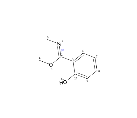 C/N=C(\OC)c1ccccc1O